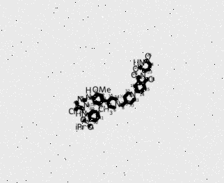 COc1cc(C2CCN(CC3CCN(c4ccc5c(c4)C(=O)N(C4CCC(=O)NC4=O)C5=O)CC3)CC2)c(C)cc1Nc1ncc(Cl)c(Nc2ccccc2S(=O)(=O)C(C)C)n1